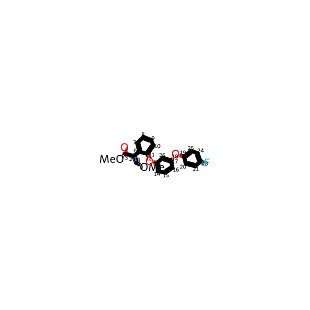 CO/C=C(/C(=O)OC)c1ccccc1Oc1cccc(Oc2ccc(F)cc2)c1